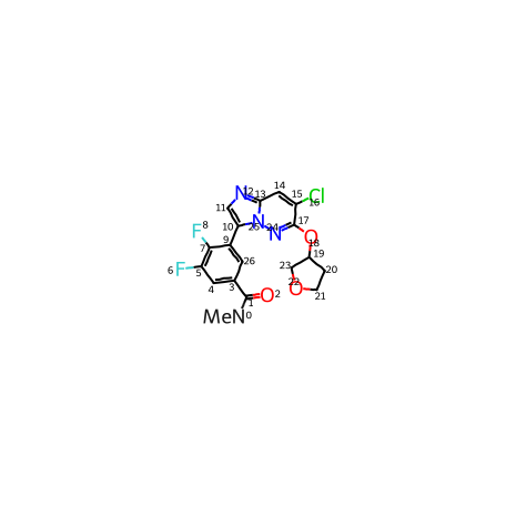 CNC(=O)c1cc(F)c(F)c(-c2cnc3cc(Cl)c(OC4CCOC4)nn23)c1